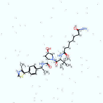 Cc1ncsc1-c1ccc([C@H](C)NC(=O)[C@@H]2C[C@@H](O)CN2C(=O)[C@@H](NC(=O)CCCCCCC(N)=O)C(C)(C)C)cc1